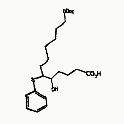 CCCCCCCCCCCCCCCCC(Sc1ccccc1)C(O)CCCC(=O)O